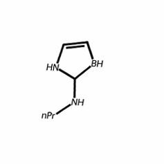 CCCNC1BC=CN1